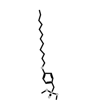 CCCCCCCCCCCCOc1ccc(CP(=O)(OC)OC)cc1